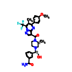 COc1ccc(-c2nc3c(C(=O)N4CCN([C@H](CO)c5cccc(C(N)=O)c5)C[C@H]4C)cnn3c(C(F)(F)F)c2C)cc1